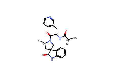 [2H][C@H](C(=O)N[C@@H](Cc1cccnc1)C(=O)N1C[C@]2(C[C@H]1C#N)C(=O)Nc1ccccc12)C(C)(C)C